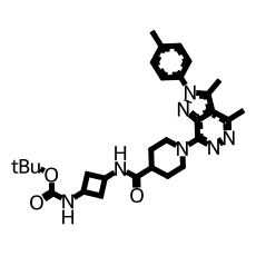 Cc1ccc(-n2nc3c(N4CCC(C(=O)NC5CC(NC(=O)OC(C)(C)C)C5)CC4)nnc(C)c3c2C)cc1